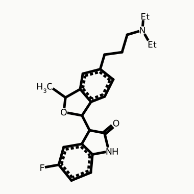 CCN(CC)CCCc1ccc2c(c1)C(C)OC2C1C(=O)Nc2ccc(F)cc21